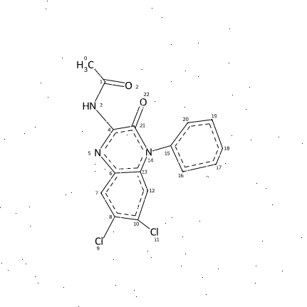 CC(=O)Nc1nc2cc(Cl)c(Cl)cc2n(-c2ccccc2)c1=O